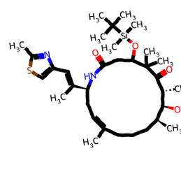 C/C1=C/C[C@@H](/C(C)=C/c2csc(C)n2)NC(=O)CC(O[Si](C)(C)C(C)(C)C)C(C)(C)C(=O)[C@H](C)[C@@H](O)[C@@H](C)CCC1